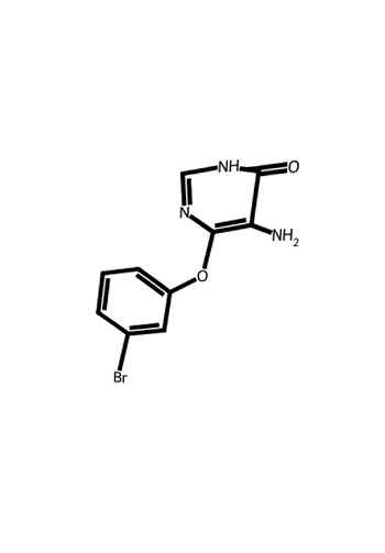 Nc1c(Oc2cccc(Br)c2)nc[nH]c1=O